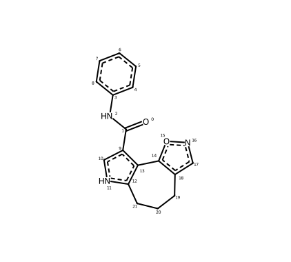 O=C(Nc1ccccc1)c1c[nH]c2c1-c1oncc1CCC2